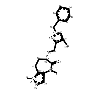 CN1C(=O)[C@@H](NCc2nn(Cc3ccccc3)cc2F)CCc2c1cnn2C